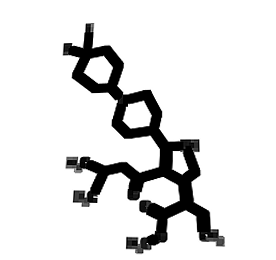 C=C/C(C(=O)OC)=C1\CNC(C2CCN(C3CCC(F)(F)CC3)CC2)=C1C(=O)CC(C)C